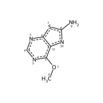 COc1ncnc2sc(N)nc12